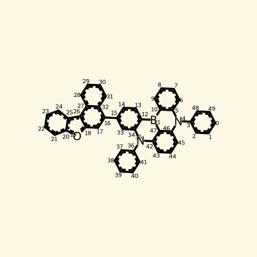 c1ccc(N2c3ccccc3B3c4ccc(-c5cc6oc7ccccc7c6c6ccccc56)cc4N(c4ccccc4)c4cccc2c43)cc1